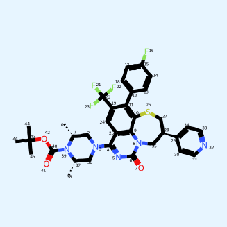 C[C@@H]1CN(c2nc(=O)n3c4c(c(-c5ccc(F)cc5)c(C(F)(F)F)cc24)SC[C@@H](c2ccncc2)C3)C[C@H](C)N1C(=O)OC(C)(C)C